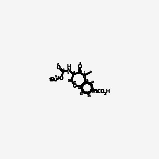 CN1C(=O)C(NC(=O)OC(C)(C)C)COc2ccc(C(=O)O)cc21